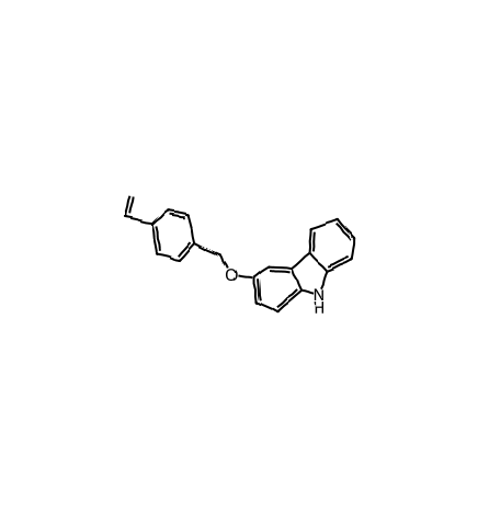 C=Cc1ccc(COc2ccc3[nH]c4ccccc4c3c2)cc1